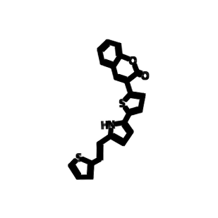 O=c1oc2ccccc2cc1-c1ccc(-c2ccc(/C=C/c3cccs3)[nH]2)s1